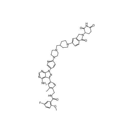 COc1ccc(F)cc1C(=O)NCc1ccc(-c2nn(-c3ccc(N4CCN(CC5CCN(c6ccc7c(c6)CN(C6CCC(=O)NC6=O)C7=O)CC5)CC4)nc3)c3ncnc(N)c23)cc1C